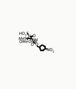 COC1(SC)N(S(=O)(=O)O)C(=O)[C@]1(NC(=O)OCc1ccc([N+](=O)[O-])cc1)OC